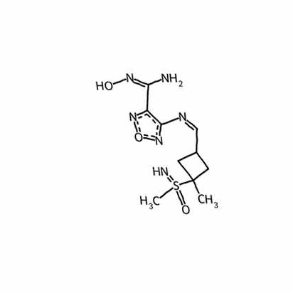 CC1(S(C)(=N)=O)CC(/C=N\c2nonc2/C(N)=N\O)C1